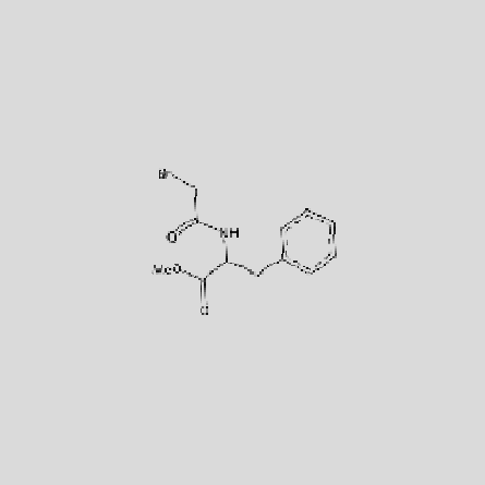 COC(=O)C(Cc1ccccc1)NC(=O)CBr